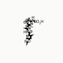 Cc1cc(OC(F)F)cnc1C(=O)Nc1csc([C@]2(C)CS(=O)(=O)N(C)C(NC(=O)O)=N2)n1